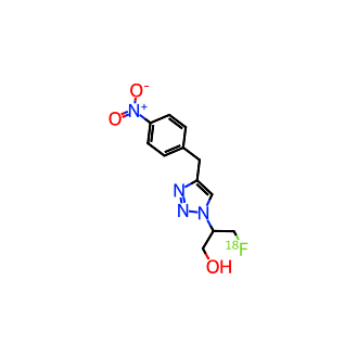 O=[N+]([O-])c1ccc(Cc2cn(C(CO)C[18F])nn2)cc1